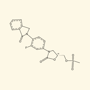 CS(=O)(=O)OC[C@H]1CN(c2ccc(N3Cc4ccccc4C3=O)c(F)c2)C(=O)O1